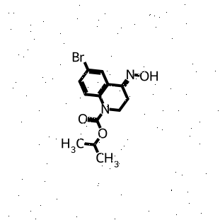 CC(C)OC(=O)N1CCC(=NO)c2cc(Br)ccc21